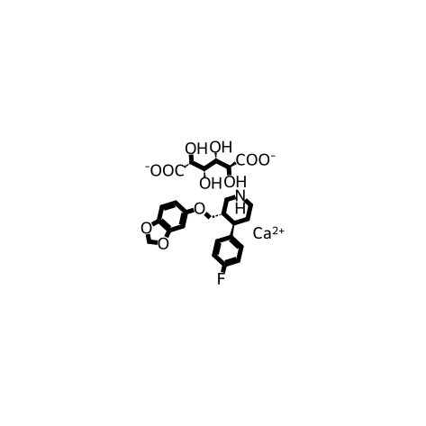 Fc1ccc([C@@H]2CCNC[C@H]2COc2ccc3c(c2)OCO3)cc1.O=C([O-])[C@@H](O)[C@@H](O)[C@H](O)[C@@H](O)C(=O)[O-].[Ca+2]